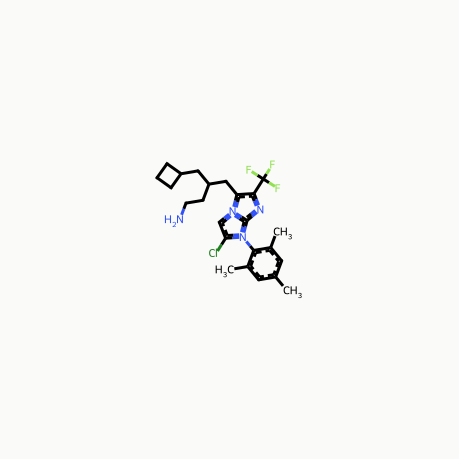 Cc1cc(C)c(-n2c(Cl)cn3c(CC(CCN)CC4CCC4)c(C(F)(F)F)nc23)c(C)c1